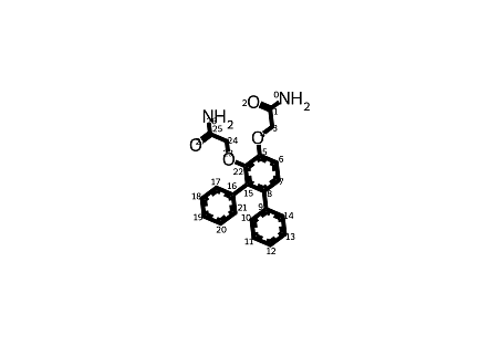 NC(=O)COc1ccc(-c2ccccc2)c(-c2ccccc2)c1OCC(N)=O